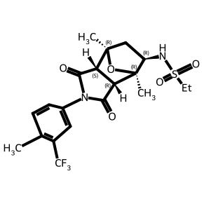 CCS(=O)(=O)N[C@@H]1C[C@@]2(C)O[C@]1(C)[C@@H]1C(=O)N(c3ccc(C)c(C(F)(F)F)c3)C(=O)[C@@H]12